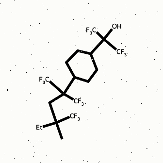 CCC(C)(CC(C1CCC(C(O)(C(F)(F)F)C(F)(F)F)CC1)(C(F)(F)F)C(F)(F)F)C(F)(F)F